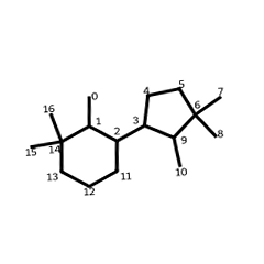 CC1C(C2CCC(C)(C)C2C)CCCC1(C)C